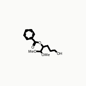 COC(OC)C(CCCO)OC(=O)c1ccccc1